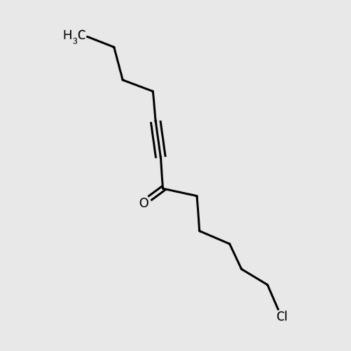 CCCCC#CC(=O)CCCCCCl